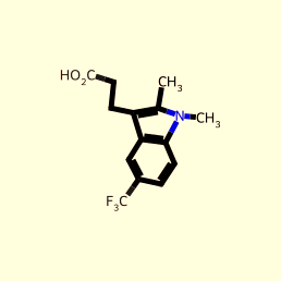 Cc1c(CCC(=O)O)c2cc(C(F)(F)F)ccc2n1C